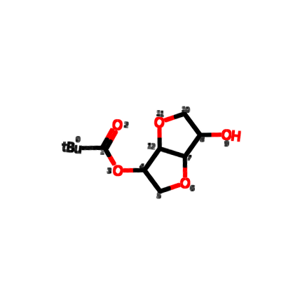 CC(C)(C)C(=O)OC1COC2C(O)COC12